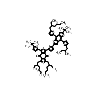 CCCCC(CC)Cc1ccc(-c2c3cc(C(C)(C)C)sc3c(-c3ccc(CC(C)CC)s3)c3cc(-c4ccc(-c5sc(-c6ccc(C(C)(C)C)s6)c6c5C(=O)c5c(CC(CC)CCCC)sc(CC(CC)CCCC)c5C6=O)s4)sc23)s1